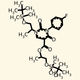 CC(CO[Si](C)(C)C(C)(C)C)OC(=O)c1cn(C(C)CO[Si](C)(C)C(C)(C)C)c(=O)n(-c2ccc(F)cc2)c1=O